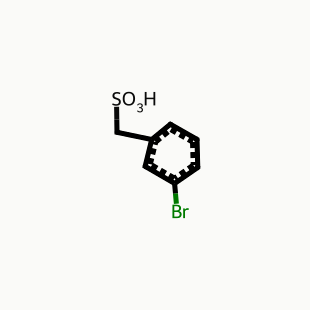 O=S(=O)(O)Cc1cccc(Br)c1